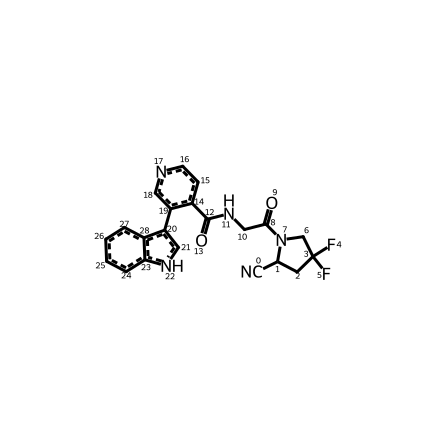 N#CC1CC(F)(F)CN1C(=O)CNC(=O)c1ccncc1-c1c[nH]c2ccccc12